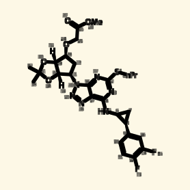 CCCSc1nc(NC2C[C@H]2c2ccc(F)c(F)c2)c2nnn([C@@H]3C[C@H](OCC(=O)OC)[C@H]4OC(C)(C)O[C@H]43)c2n1